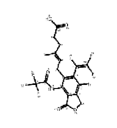 C/C(=C\Cc1c(NC(=O)C(F)(F)F)c2c(c(C)c1C(F)=C(F)F)COC2=O)CCC(=O)O